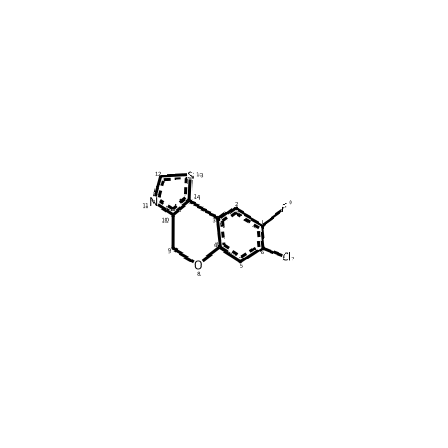 Fc1cc2c(cc1Cl)OCc1ncsc1-2